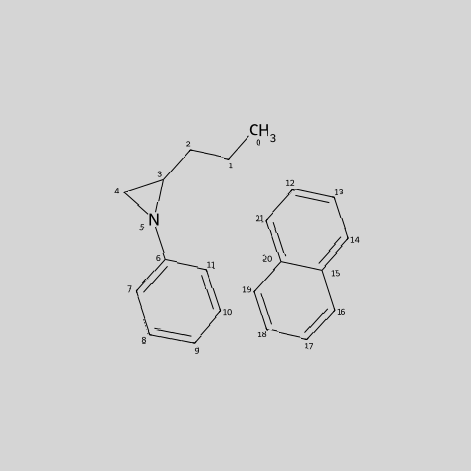 CCCC1CN1c1ccccc1.c1ccc2ccccc2c1